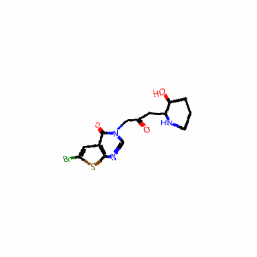 O=C(CC1NCCCC1O)Cn1cnc2sc(Br)cc2c1=O